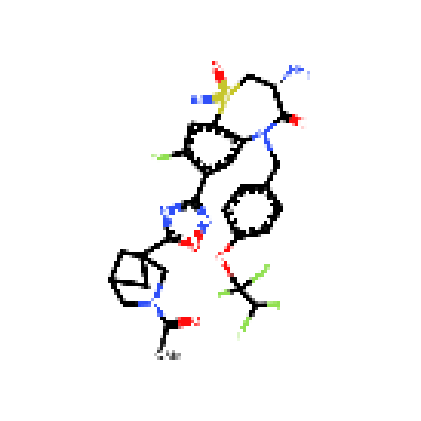 COC(=O)N1CC2CC(c3nc(-c4cc5c(cc4F)S(=N)(=O)C[C@H](N)C(=O)N5Cc4ccc(OC(F)(F)C(F)F)cc4)no3)(C2)C1